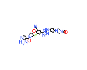 N#Cc1cc(-c2ncnc(Nc3ccc(N4CCN(C5COC5)CC4)cc3)n2)ccc1O[C@H]1CCN(C(=O)c2ccncc2N)C[C@@H]1F